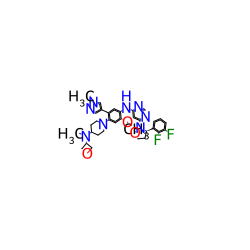 COc1cc(N2CCC(N(C)C3COC3)CC2)c(-c2cnn(C)c2)cc1Nc1cc(N2OCC[C@@H]2c2cccc(F)c2F)ncn1